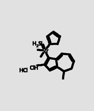 CC1=[C]([Zr]([CH3])([CH3])(=[SiH2])[C]2=CC=CC2)C2=CC=CCC(C)C2=C1.Cl.Cl